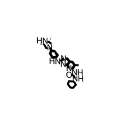 Cc1cc2cnc(Nc3ccc(N4C[C@@H](C)N[C@@H](C)C4)cc3)nc2nc1NC(=O)NC1CCCCC1